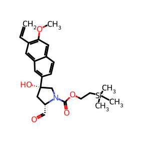 C=Cc1cc2cc([C@]3(O)C[C@@H](C=O)N(C(=O)OCC[Si](C)(C)C)C3)ccc2cc1OC